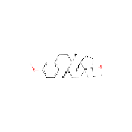 COc1ccc2c(c1)CC[C@@H]1[C@@H]2CC[C@@]2(C)[C@H]1CC[C@]21CCO1